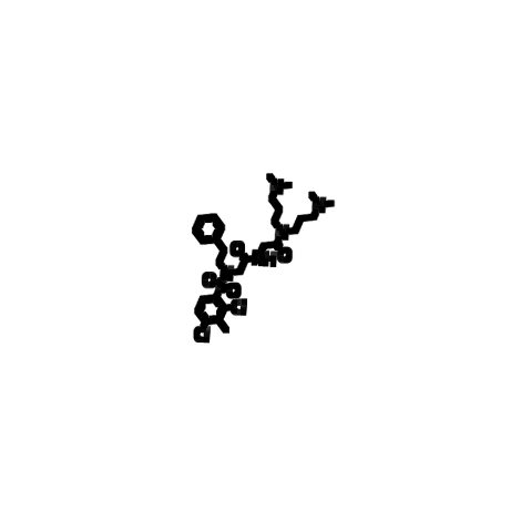 Cc1c(Cl)ccc(S(=O)(=O)N(CCc2ccccc2)CC(=O)NCC(=O)N(CCCN(C)C)CCCN(C)C)c1Cl